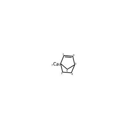 C1=CC2CCC1C2.[Ca]